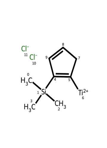 C[Si](C)(C)C1=[C]([Ti+2])CC=C1.[Cl-].[Cl-]